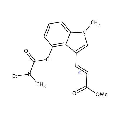 CCN(C)C(=O)Oc1cccc2c1c(/C=C/C(=O)OC)cn2C